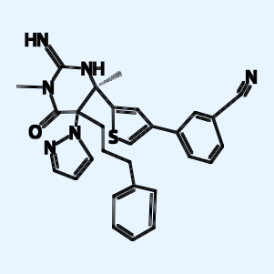 CN1C(=N)N[C@@](C)(c2cc(-c3cccc(C#N)c3)cs2)C(CCCc2ccccc2)(n2cccn2)C1=O